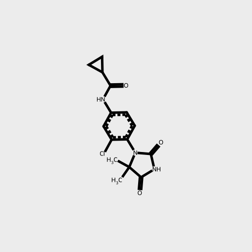 CC1(C)C(=O)NC(=O)N1c1ccc(NC(=O)C2CC2)cc1Cl